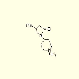 CN1CCC(N2CC(C(C)(C)C)CC2=O)CC1